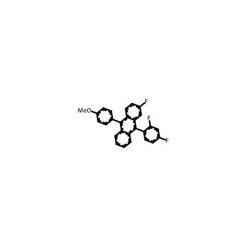 COc1ccc(-c2c3ccccc3c(-c3ccc(F)cc3F)c3cc(F)ccc23)cc1